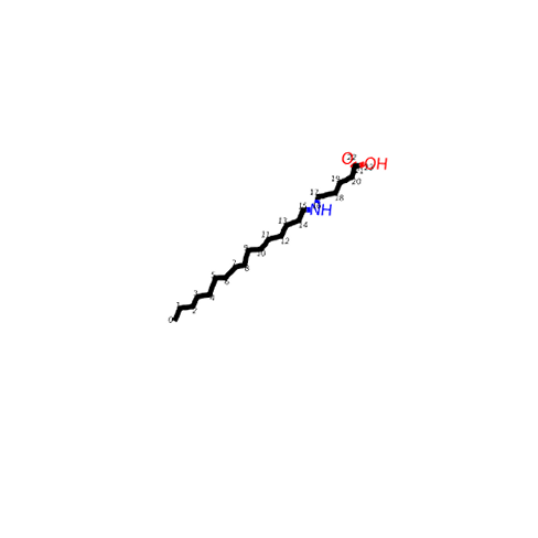 CCCCCCCCCCCCCCCCNCCCCC(=O)O